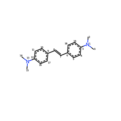 CN(C)c1ccc(/C=C/c2ccc(N(C)C)cc2)cc1